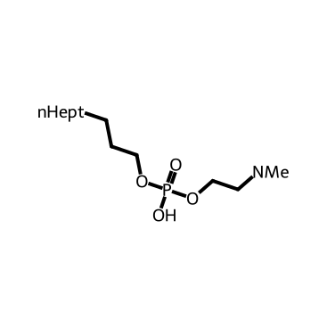 CCCCCCCCCCOP(=O)(O)OCCNC